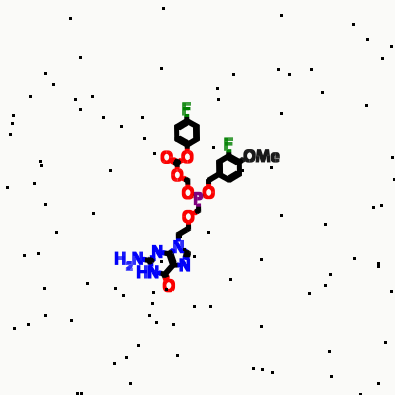 COc1ccc(COP(COCCn2cnc3c(=O)[nH]c(N)nc32)OCOC(=O)Oc2ccc(F)cc2)cc1F